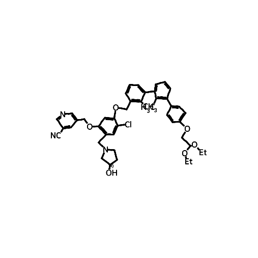 CCOC(COc1ccc(-c2cccc(-c3cccc(COc4cc(OCc5cncc(C#N)c5)c(CN5CC[C@@H](O)C5)cc4Cl)c3C)c2C)cc1)OCC